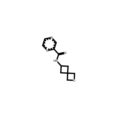 O=C(NC1CC2(COC2)C1)c1cnccn1